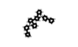 c1ccc(-c2ccc(-n3c4ccccc4c4cc(-c5cccc6c5c5ccccc5n6-c5cccc(-c6ccccc6)c5)ccc43)cc2)cc1